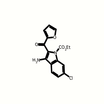 CCOC(=O)n1c(C(=O)c2ccco2)c(N)c2ccc(Cl)cc21